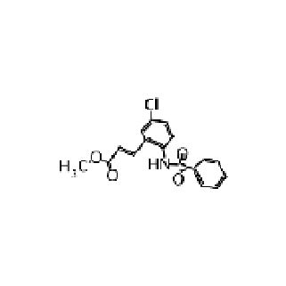 COC(=O)C=Cc1cc(Cl)ccc1NS(=O)(=O)c1ccccc1